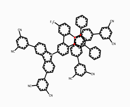 N#Cc1cc(C#N)cc(-c2ccc3c(c2)c2cc(-c4cc(C#N)cc(C#N)c4)ccc2n3-c2ccc(-c3nc(-c4ccccc4)nc(-c4ccccc4)n3)c(-c3cc(C(F)(F)F)ccc3-n3c4ccc(-c5cc(C#N)cc(C#N)c5)cc4c4cc(-c5cc(C#N)cc(C#N)c5)ccc43)c2)c1